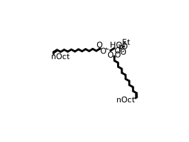 CCCCCCCC/C=C\CCCCCCCCCCCC(=O)OC[C@H](COP(=O)(O)OCC)OC(=O)CCCCCCCCCCC/C=C\CCCCCCCC